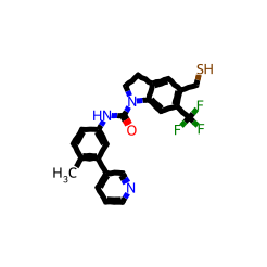 Cc1ccc(NC(=O)N2CCc3cc(CS)c(C(F)(F)F)cc32)cc1-c1cccnc1